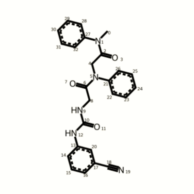 CN(C(=O)CN(C(=O)CNC(=O)Nc1cccc(C#N)c1)c1ccccc1)c1ccccc1